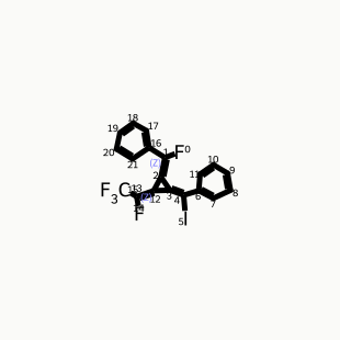 F/C(=C1\C(=C(I)c2ccccc2)\C1=C(/F)C(F)(F)F)c1ccccc1